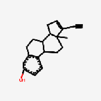 C#CC1=CCC2C3CCc4cc(O)ccc4C3CCC12C